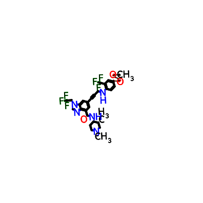 C[C@H]1CN(C)CC[C@@H]1NC(=O)c1cc(C#CCNc2ccc(S(C)(=O)=O)cc2C(F)(F)F)cc2c1ncn2CC(F)(F)F